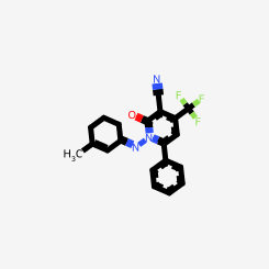 CC1=CC(=Nn2c(-c3ccccc3)cc(C(F)(F)F)c(C#N)c2=O)CCC1